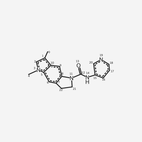 Cc1cn(C)c2cc3c(cc12)N(C(=O)Nc1cccnc1)CC3